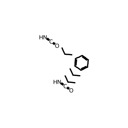 CCC.CCC.CCC.N=C=O.N=C=O.c1ccccc1